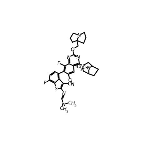 CN(C)/C=N/c1sc2c(F)ccc(-c3c(Cl)cc4c(N5CC6CCC(C5)N6C(=O)O)nc(OCC56CCCN5CCC6)nc4c3F)c2c1C#N